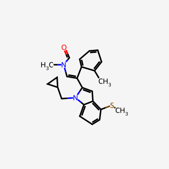 CSc1cccc2c1cc(/C(=C/N(C)C=O)c1ccccc1C)n2CC1CC1